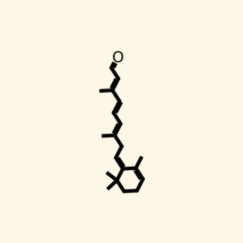 CC1=CCCC(C)(C)/C1=C/C/C(C)=C/C=C/C(C)=C/C=O